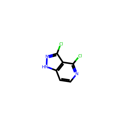 Clc1nccc2[nH]nc(Cl)c12